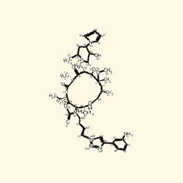 CC[C@H]1OC(=O)[C@H](C)C(=O)[C@H](C)[C@@H](O[C@@H]2OC(C)CC(n3cccc3)C2O)[C@](C)(OC)C[C@@H](C)CN[C@H](C)[C@H]2N(CCCCn3cc(-c4cccc(N)c4)nn3)C(=O)O[C@]12C